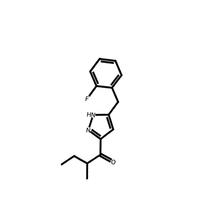 CCC(C)C(=O)c1cc(Cc2ccccc2F)[nH]n1